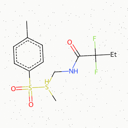 CCC(F)(F)C(=O)NC[SH](C)S(=O)(=O)c1ccc(C)cc1